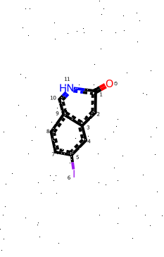 O=c1cc2cc(I)ccc2c[nH]1